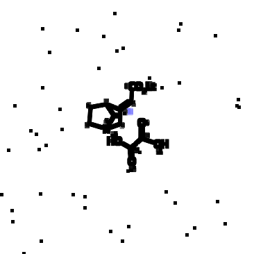 CCOC(=O)/C=C1/CN2CCC1C2.O=C(O)C(=O)O